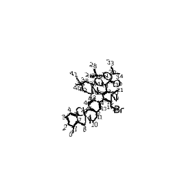 Cc1cccc(Cl)c1CN1CCc2cc(-c3c(CBr)nc(C)c(C(OC(C)(C)C)C(=O)OC(C)C)c3N3CCC(C)(C)CC3)ccc2C1